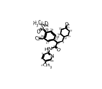 Cc1ccc(NC(=O)C(CC2CCC(=O)CC2)c2ccc(S(C)(=O)=O)c(Cl)c2)nc1